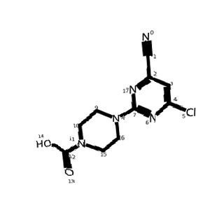 N#Cc1cc(Cl)nc(N2CCN(C(=O)O)CC2)n1